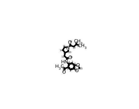 CC(=O)c1cc2c(cc1NC(=O)CC1CCN(C(=O)CC(C)C)C1)OCO2